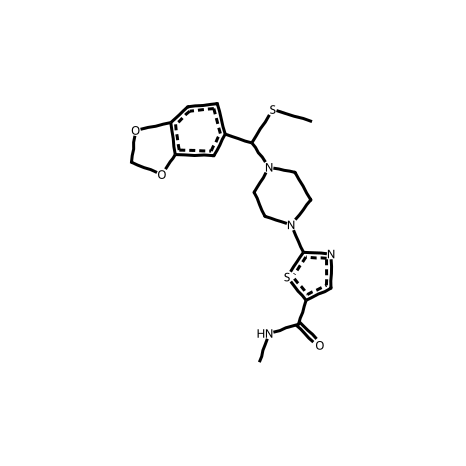 CNC(=O)c1cnc(N2CCN(C(SC)c3ccc4c(c3)OCO4)CC2)s1